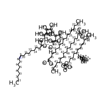 CCCCCCCC/C=C\CCCCCCCC(=O)[O-].CCCCCCCCCCCCCCCCCC(=O)[O-].CCCCCCCCCCCCCCCC[N+](C)(C)C.CCCCCCCCCCCCOS(=O)(=O)[O-].OC[C@@H](O)[C@H]1OC[C@H](O)[C@H]1O.OC[C@@H](O)[C@H]1OC[C@H](O)[C@H]1O.[Br-].[Na+].[Na+].[Na+]